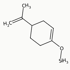 C=C(C)C1CC=C(O[SiH3])CC1